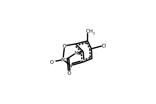 Cc1c(Cl)cc2c3c1O[N+]([O-])(N=2)C(=O)N=3